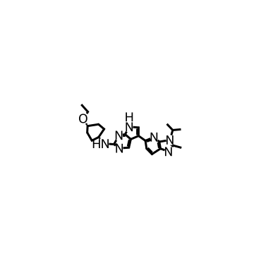 CCO[C@H]1CC[C@@H](Nc2ncc3c(-c4ccc5nc(C)n(C(C)C)c5n4)c[nH]c3n2)CC1